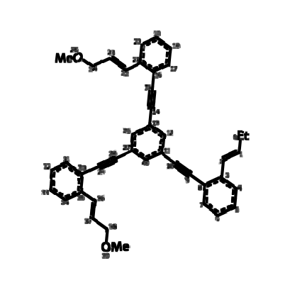 CC/C=C/c1ccccc1C#Cc1cc(C#Cc2ccccc2/C=C/COC)cc(C#Cc2ccccc2/C=C/COC)c1